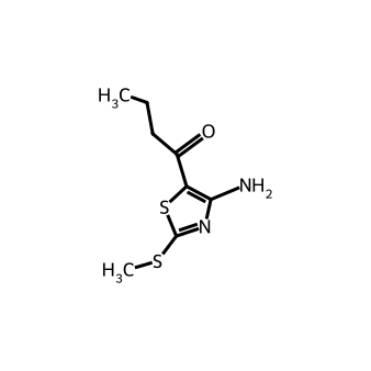 CCCC(=O)c1sc(SC)nc1N